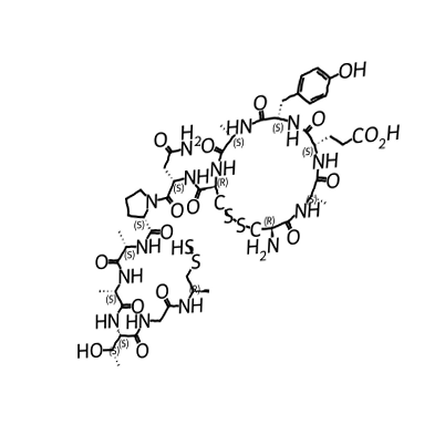 C[C@H](CSS)NC(=O)CNC(=O)[C@@H](NC(=O)[C@H](C)NC(=O)[C@H](C)NC(=O)[C@@H]1CCCN1C(=O)[C@H](CC(N)=O)NC(=O)[C@@H]1CSSC[C@H](N)C(=O)N[C@@H](C)C(=O)N[C@@H](CCC(=O)O)C(=O)N[C@@H](Cc2ccc(O)cc2)C(=O)N[C@@H](C)C(=O)N1)[C@H](C)O